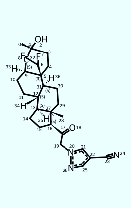 C[C@@]1(O)CC[C@@]2(C(F)F)[C@@H](CC[C@H]3[C@@H]4CC[C@H](C(=O)Cn5cc(C#N)cn5)[C@@]4(C)CC[C@@H]32)C1